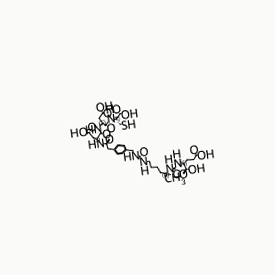 C[C@H](CCCCNC(=O)NCc1ccc(CC(=O)N[C@@H](CC(=O)O)C(=O)N[C@@H](CC(=O)O)C(=O)N[C@@H](CS)C(=O)O)cc1)NC(=O)N[C@@H](CCC(=O)O)C(=O)O